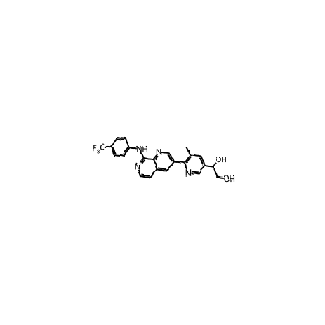 Cc1cc([C@@H](O)CO)cnc1-c1cnc2c(Nc3ccc(C(F)(F)F)cc3)nccc2c1